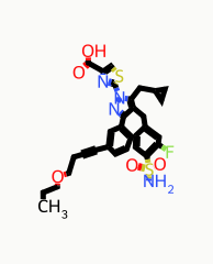 CCCOCCC#Cc1cccc(-c2nn(-c3nc(C(=O)O)cs3)c(CC3CC3)c2Cc2ccc(S(N)(=O)=O)c(F)c2)c1